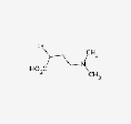 CCC(CCN(C)C)C(=O)O